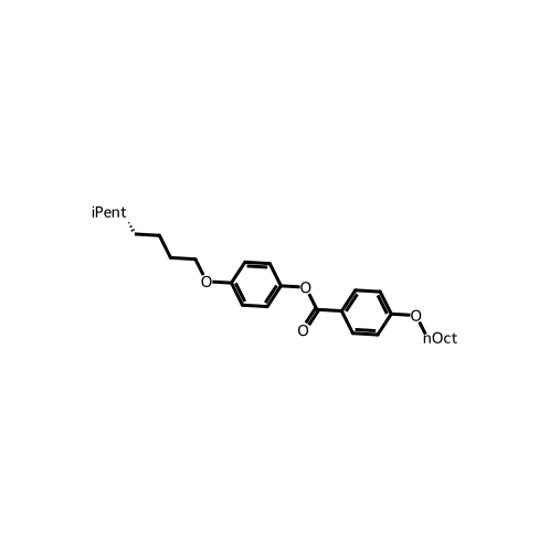 CCCCCCCCOc1ccc(C(=O)Oc2ccc(OCCCC[C@@H](C)CCC)cc2)cc1